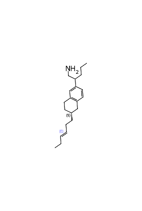 CC/C=C/CC[C@H]1CCc2cc(C(CN)CCC)ccc2C1